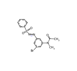 CC(=O)N(C)c1cc(Br)cc(/N=N/S(=O)(=O)c2ccccc2)c1